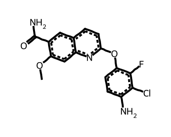 COc1cc2nc(Oc3ccc(N)c(Cl)c3F)ccc2cc1C(N)=O